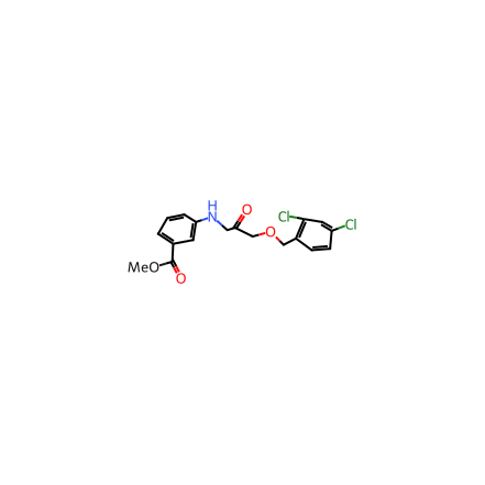 COC(=O)c1cccc(NCC(=O)COCc2ccc(Cl)cc2Cl)c1